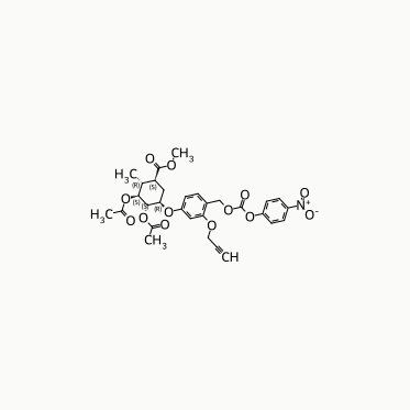 C#CCOc1cc(O[C@@H]2C[C@H](C(=O)OC)[C@@H](C)[C@H](OC(C)=O)[C@H]2OC(C)=O)ccc1COC(=O)Oc1ccc([N+](=O)[O-])cc1